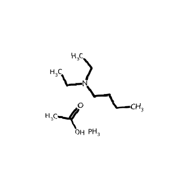 CC(=O)O.CCCCN(CC)CC.P